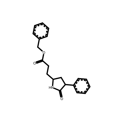 O=C(CCC1CC(c2ccccc2)C(=O)N1)OCc1ccccc1